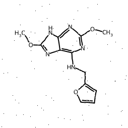 COc1nc(NCc2ccco2)c2nc(OC)[nH]c2n1